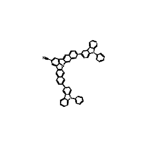 N#Cc1cc2c3cc4ccc(-c5ccc6c(c5)c5ccccc5n6-c5ccccc5)cc4cc3n3c4cc5cc(-c6ccc7c(c6)c6ccccc6n7-c6ccccc6)ccc5cc4c(c1)c23